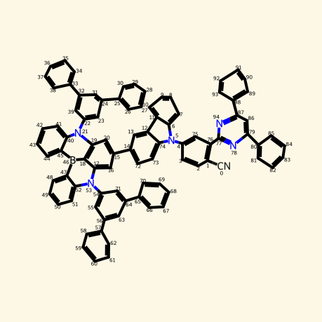 N#Cc1ccc(-n2c3ccccc3c3cc(-c4cc5c6c(c4)N(c4cc(-c7ccccc7)cc(-c7ccccc7)c4)c4ccccc4B6c4ccccc4N5c4cc(-c5ccccc5)cc(-c5ccccc5)c4)ccc32)cc1-c1nc(-c2ccccc2)cc(-c2ccccc2)n1